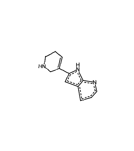 C1=C(c2cc3cccnc3[nH]2)CNCC1